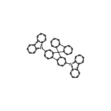 c1ccc2c(c1)-c1ccccc1C21c2cc(-n3c4ccccc4c4ccccc43)ccc2-c2ccc(-n3c4ccccc4c4ccccc43)cc21